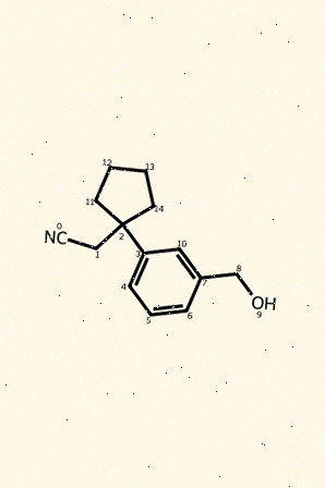 N#CCC1(c2cccc(CO)c2)CCCC1